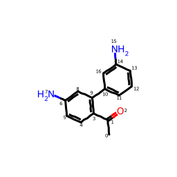 CC(=O)c1ccc(N)cc1-c1cccc(N)c1